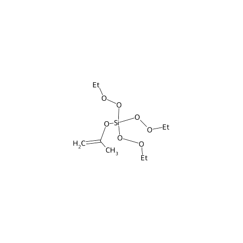 C=C(C)O[Si](OOCC)(OOCC)OOCC